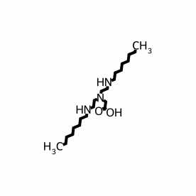 CCCCCCCCNCCN(CCNCCCCCCCC)CC(=O)O